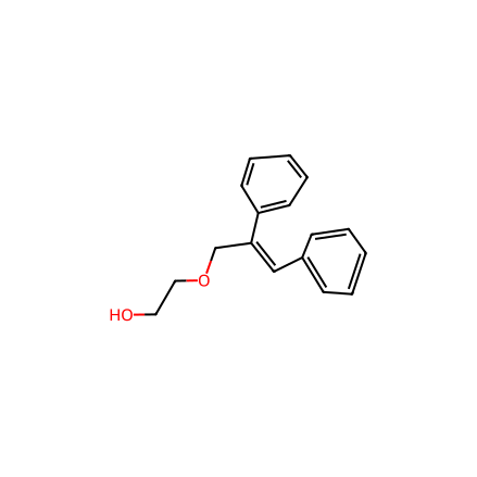 OCCOC/C(=C/c1ccccc1)c1ccccc1